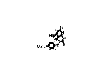 COc1ccc(CN2c3n[nH]c4cc(Cl)nc(c34)CC2C)cc1